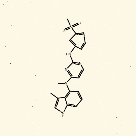 Cc1n[nH]c2cccc(N(C)c3ccnc(Nc4cccc(S(C)(=O)=O)c4)n3)c12